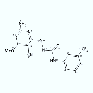 COc1nc(N)nc(NNC(=O)Nc2cccc(C(F)(F)F)c2)c1C#N